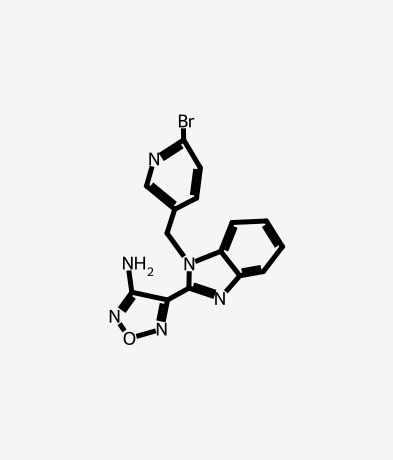 Nc1nonc1-c1nc2ccccc2n1Cc1ccc(Br)nc1